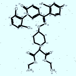 CCOC(=O)C(C(=O)OCC)N1CCC(O/N=C(\c2ccc(=O)n(-c3c(Cl)cccc3Cl)c2)c2ccc(F)cc2F)CC1